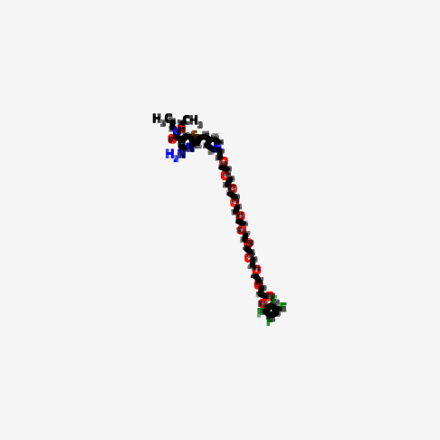 CCCN(OCC)C(=O)C1=Cc2sc(CC3CCN(CCOCCOCCOCCOCCOCCOCCOCCOCCOCCOCCC(=O)Oc4c(F)c(F)cc(F)c4F)CC3)cc2N=C(N)C1